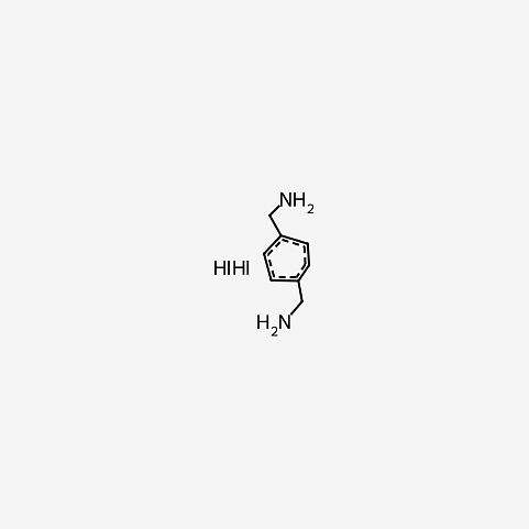 I.I.NCc1ccc(CN)cc1